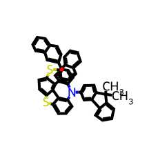 CC1(C)c2ccccc2-c2cc(N(c3ccc(-c4ccc5ccccc5c4)cc3)c3cccc4sc5ccc6sc7c8ccccc8ccc7c6c5c34)ccc21